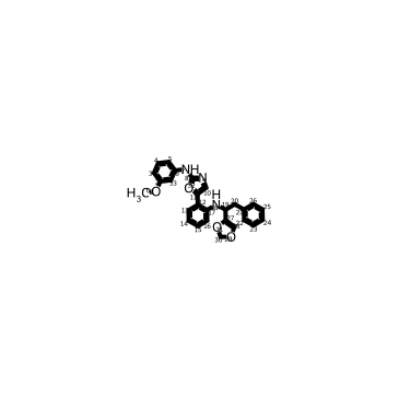 COc1cccc(Nc2ncc(-c3ccccc3NC(Cc3ccccc3)C3=COCO3)o2)c1